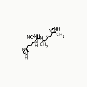 Cc1[nH]cnc1CSC[C@H](C)N=C(NC#N)NCCCc1c[nH]cn1